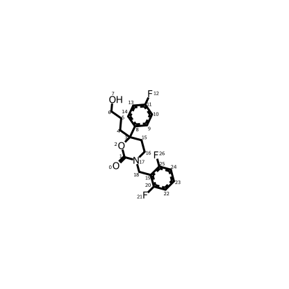 O=C1OC(CCCO)(c2ccc(F)cc2)CCN1Cc1c(F)cccc1F